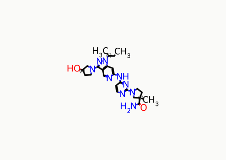 CC[C@H](C)n1nc(N2CC[C@@H](O)C2)c2cnc(Nc3ccnc(N4CC[C@](C)(C(N)=O)C4)n3)cc21